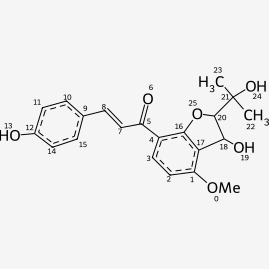 COc1ccc(C(=O)/C=C/c2ccc(O)cc2)c2c1C(O)C(C(C)(C)O)O2